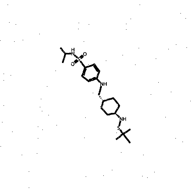 CC(C)NS(=O)(=O)c1ccc(NC[C@H]2CC[C@H](NSC(C)(C)C)CC2)cc1